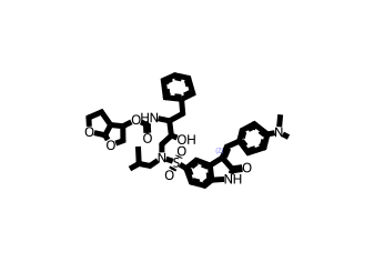 CC(C)CN(CC(O)C(Cc1ccccc1)NC(=O)OC1COC2OCCC12)S(=O)(=O)c1ccc2c(c1)/C(=C/c1ccc(N(C)C)cc1)C(=O)N2